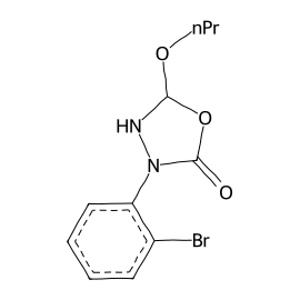 CCCOC1NN(c2ccccc2Br)C(=O)O1